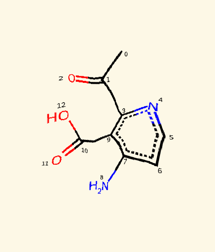 CC(=O)c1nccc(N)c1C(=O)O